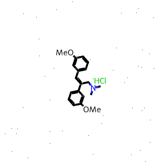 COc1cccc(/C=C(\CN(C)C)c2cccc(OC)c2)c1.Cl